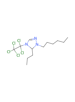 CCCCCCN1N=CN(C(Cl)(Cl)C(Cl)(Cl)Cl)C1CCC